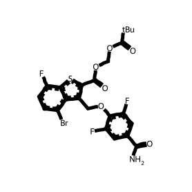 CC(C)(C)C(=O)OCOC(=O)c1sc2c(F)ccc(Br)c2c1COc1c(F)cc(C(N)=O)cc1F